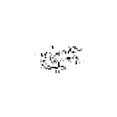 CC(=O)OO[C@H]1[C@@H](O[C@]2(CO)O[C@H](CO)[C@@H](O)[C@@H]2O)O[C@H](CO[C@H]2O[C@H](CO)[C@H](O)[C@H](O)[C@H]2O)[C@@H](O)[C@@H]1O